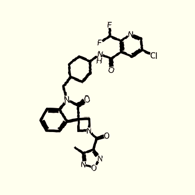 Cc1nonc1C(=O)N1CC2(C1)C(=O)N(CC1CCC(NC(=O)c3cc(Cl)cnc3C(F)F)CC1)c1ccccc12